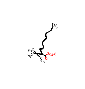 CCCCCCCC(C(=O)OO)C(C)(C)C